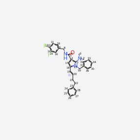 CN(C)c1c(C(=O)NCc2ccc(F)c(F)c2)cc(/C=C/CCc2ccccc2)n1Cc1ccccc1